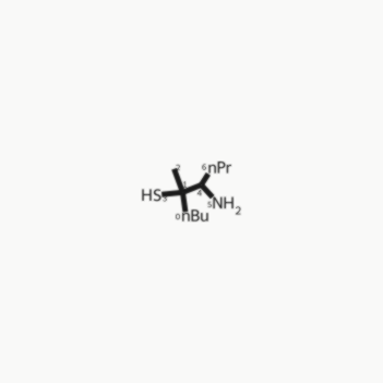 CCCCC(C)(S)C(N)CCC